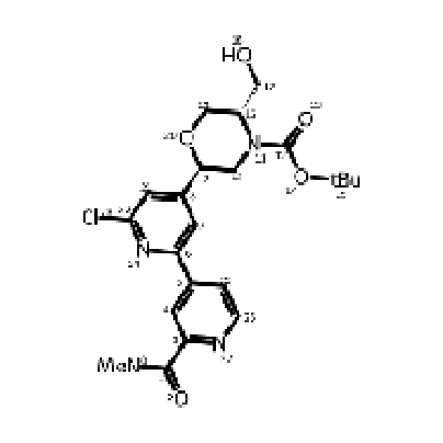 CNC(=O)c1cc(-c2cc([C@@H]3CN(C(=O)OC(C)(C)C)[C@@H](CO)CO3)cc(Cl)n2)ccn1